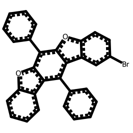 Brc1ccc2oc3c(-c4ccccc4)c4oc5ccccc5c4c(-c4ccccc4)c3c2c1